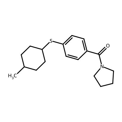 CC1CCC(Sc2ccc(C(=O)N3CCCC3)cc2)CC1